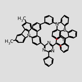 Cc1ccc2c(c1)c1cc(C)ccc1n2-c1ccc(-c2nc(-c3ccccc3)nc(-c3ccccc3)n2)cc1-c1cccc(-c2cccc(N3c4ccccc4B4c5ccccc5N(c5ccccc5)c5cccc3c54)c2)c1